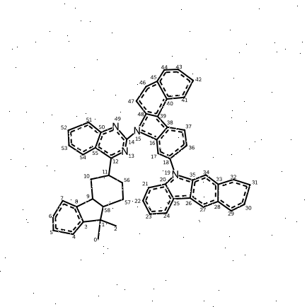 CC1(C)c2ccccc2C2CC(c3nc(-n4c5cc(-n6c7ccccc7c7cc8ccccc8cc76)ccc5c5c6ccccc6ccc54)nc4ccccc34)CCC21